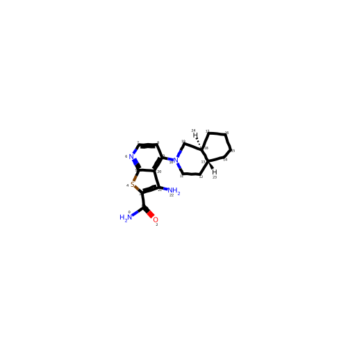 NC(=O)c1sc2nccc(N3CC[C@H]4CCCC[C@@H]4C3)c2c1N